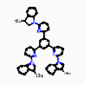 CC(C)(C)c1cn(-c2cccc(-c3cc(-c4cccc(N5CC(C(C)(C)C)c6ccccc65)n4)cc(-c4cccc(-n5cc(C(C)(C)C)c6ccccc65)n4)c3)n2)c2ccccc12